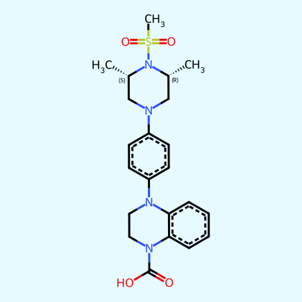 C[C@@H]1CN(c2ccc(N3CCN(C(=O)O)c4ccccc43)cc2)C[C@H](C)N1S(C)(=O)=O